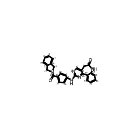 O=C1Cc2cnc(Nc3ccc(C(=O)N4Cc5ccccc5C4)cc3)nc2-c2ccccc2N1